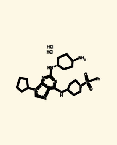 CC(C)S(=O)(=O)N1CCC(Nc2nc(N[C@H]3CC[C@H](N)CC3)nc3c2ncn3C2CCCC2)CC1.Cl.Cl